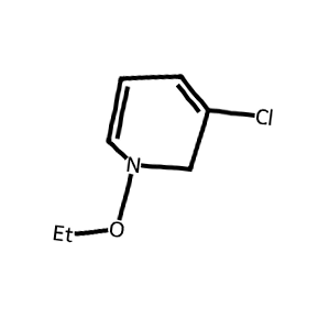 CCON1C=CC=C(Cl)C1